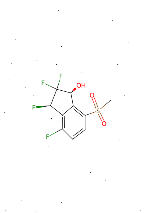 CS(=O)(=O)c1ccc(F)c2c1[C@H](O)C(F)(F)[C@@H]2F